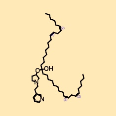 CCCCC/C=C\C/C=C\CCCCCCCCC(O)(CCCCCCCC/C=C\C/C=C\CCCCC)OC1CCN(CCc2cccnc2)C1